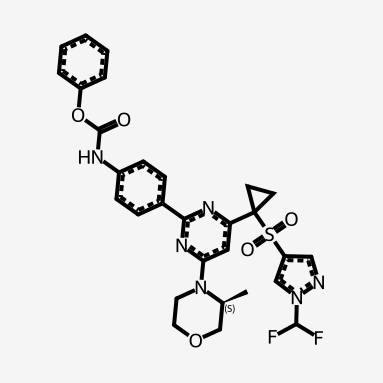 C[C@H]1COCCN1c1cc(C2(S(=O)(=O)c3cnn(C(F)F)c3)CC2)nc(-c2ccc(NC(=O)Oc3ccccc3)cc2)n1